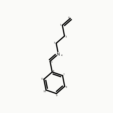 C=CCCN=Cc1ccccc1